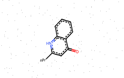 [CH2]CCc1cc(=O)c2ccccc2[nH]1